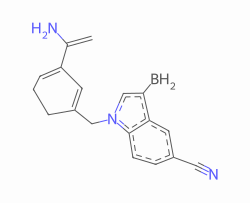 Bc1cn(CC2=CC(C(=C)N)=CCC2)c2ccc(C#N)cc12